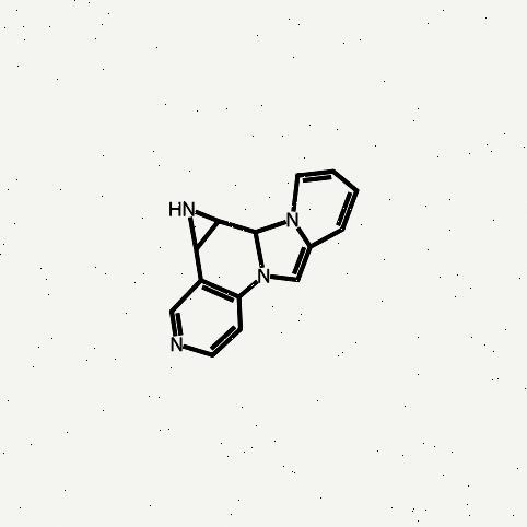 C1=CC2=CN3c4ccncc4C4NC4C3N2C=C1